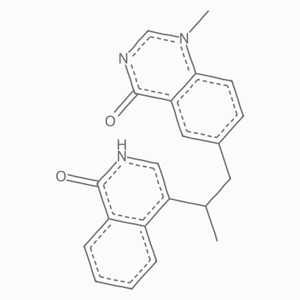 CC(Cc1ccc2c(c1)c(=O)ncn2C)c1c[nH]c(=O)c2ccccc12